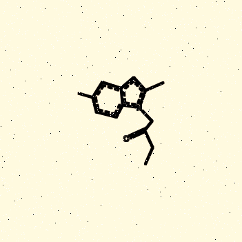 CCC(=O)Cn1c(C)cc2cc(C)ccc21